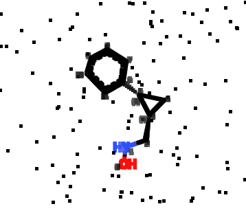 ONC[C@@H]1C[C@H]1c1ccccc1